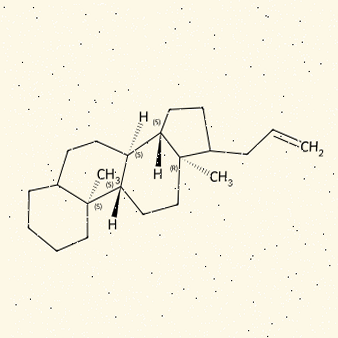 C=CCC1CC[C@H]2[C@@H]3CCC4CCCC[C@]4(C)[C@H]3CC[C@]12C